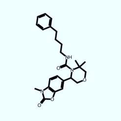 Cn1c(=O)oc2cc(C3COCC(C)(C)N3C(=O)NCCCCc3ccccc3)ccc21